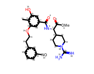 COC(=O)[C@@H](NC(=O)c1cc(O)c(C)c(OCCc2cccc(N=O)c2)c1)C1CCN(C(=N)N)CC1